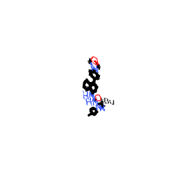 Cc1ccc(-n2ncc(C(C)(C)C)c2NC(=O)Nc2ccc(-c3ccc(N4CCOCC4)cc3)c3ccccc23)cc1